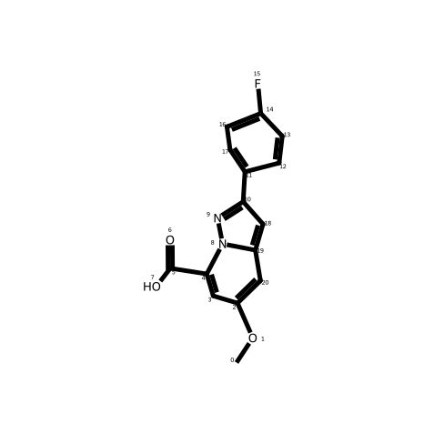 COc1cc(C(=O)O)n2nc(-c3ccc(F)cc3)cc2c1